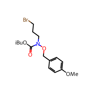 COc1ccc(CON(CCCBr)C(=O)OCC(C)C)cc1